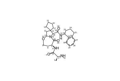 CN[C@@H](C)C(=O)N[C@H]1CCOC2CC3(CCCC3)C(C(=O)NC3CCCc4ccccc43)N2C1=O